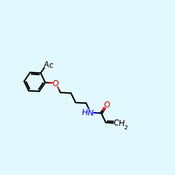 C=CC(=O)NCCCCOc1ccccc1C(C)=O